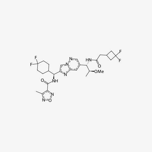 CO[C@@H](C)[C@@H](NC(=O)CC1CC(F)(F)C1)c1cnn2cc([C@@H](NC(=O)c3nonc3C)C3CCC(F)(F)CC3)nc2c1